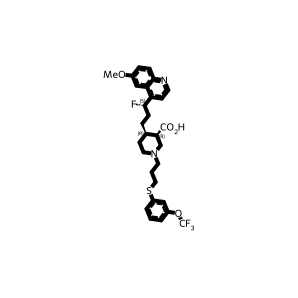 COc1ccc2nccc([C@@H](F)CC[C@@H]3CCN(CCCSc4cccc(OC(F)(F)F)c4)C[C@@H]3C(=O)O)c2c1